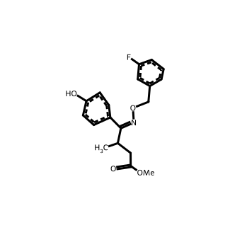 COC(=O)CC(C)C(=NOCc1cccc(F)c1)c1ccc(O)cc1